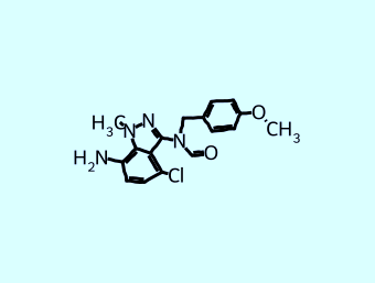 COc1ccc(CN(C=O)c2nn(C)c3c(N)ccc(Cl)c23)cc1